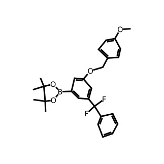 COc1ccc(COc2cc(B3OC(C)(C)C(C)(C)O3)cc(C(F)(F)c3ccccc3)c2)cc1